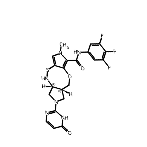 Cn1cc2c(c1C(=O)Nc1cc(F)c(F)c(F)c1)OC[C@@H]1CN(c3nccc(=O)[nH]3)C[C@@H]1NS2